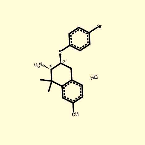 CC1(C)c2cc(O)ccc2C[C@H](Sc2ccc(Br)cc2)[C@H]1N.Cl